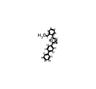 C=Cc1ccccc1-c1nnc(-c2ccc(-c3ccccc3)cc2)o1